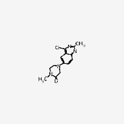 Cc1nc(Cl)c2cc(N3CCN(C)C(=O)C3)ccc2n1